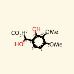 COc1ccc(C(O)C(=O)O)c(O)c1OC